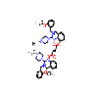 COc1ccccc1CN1Cc2ccccc2N(OC(=O)/C=C/C(=O)ON2c3ccccc3CN(Cc3ccccc3OC)C2N2CCN(C)CC2)C1N1CCN(C)CC1